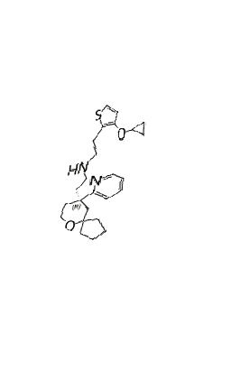 c1ccc([C@]2(CCNCCc3sccc3OC3CC3)CCOC3(CCCC3)C2)nc1